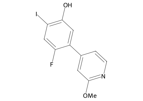 COc1cc(-c2cc(O)c(I)cc2F)ccn1